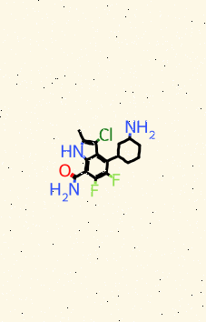 Cc1[nH]c2c(C(N)=O)c(F)c(F)c(C3CCCC(N)C3)c2c1Cl